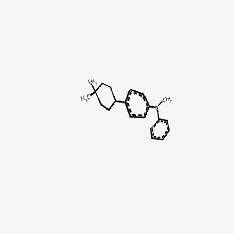 CN(c1ccccc1)c1ccc(C2CCC(C)(C)CC2)cc1